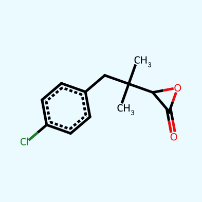 CC(C)(Cc1ccc(Cl)cc1)C1OC1=O